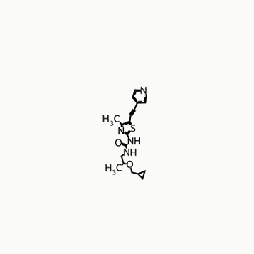 Cc1nc(NC(=O)NC[C@H](C)OCC2CC2)sc1C#Cc1ccncc1